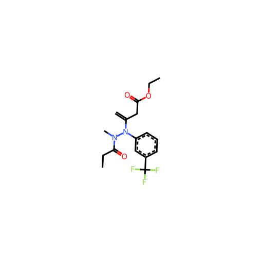 C=C(CC(=O)OCC)N(c1cccc(C(F)(F)F)c1)N(C)C(=O)CC